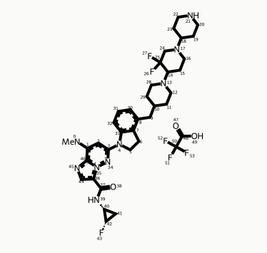 CNc1cc(N2CCc3c(CC4CCN(C5CCN(C6CCNCC6)CC5(F)F)CC4)cccc32)nn2c(C(=O)N[C@@H]3C[C@@H]3F)cnc12.O=C(O)C(F)(F)F